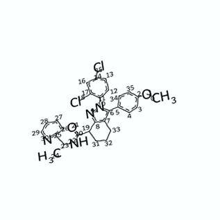 COc1ccc(-c2c3c(nn2-c2ccc(Cl)cc2Cl)C(C(=O)N[C@H](C)c2ccccn2)CCC3)cc1